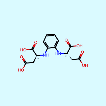 O=C(O)C[C@H](Nc1ccccc1N[C@@H](CC(=O)O)C(=O)O)C(=O)O